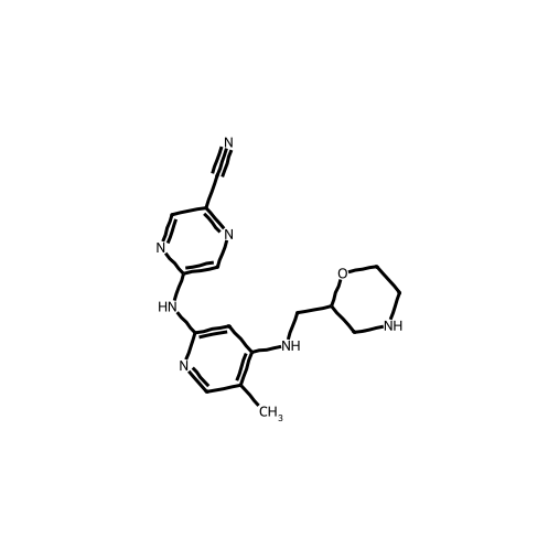 Cc1cnc(Nc2cnc(C#N)cn2)cc1NCC1CNCCO1